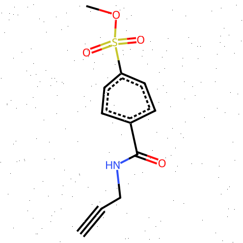 C#CCNC(=O)c1ccc(S(=O)(=O)OC)cc1